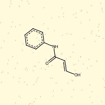 O=C(C=CO)Nc1ccccc1